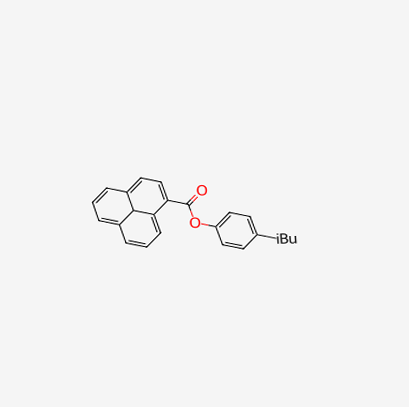 CCC(C)c1ccc(OC(=O)C2=CC=C3C=CC=C4C=CC=C2C43)cc1